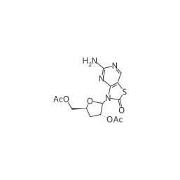 CC(=O)OC[C@@H]1C[C@@H](OC(C)=O)C(n2c(=O)sc3cnc(N)nc32)O1